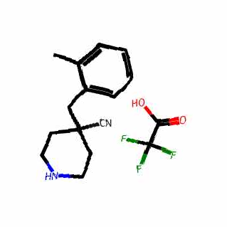 Cc1ccccc1CC1(C#N)CCNCC1.O=C(O)C(F)(F)F